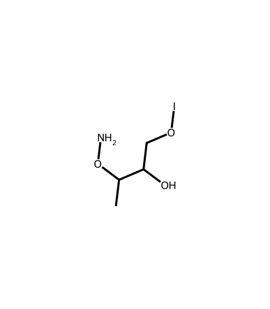 CC(ON)C(O)COI